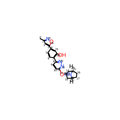 Cc1cc(-c2ccc(-c3ccc(O[C@H]4C[C@H]5CC[C@@H](C4)N5)nn3)c(O)c2)on1